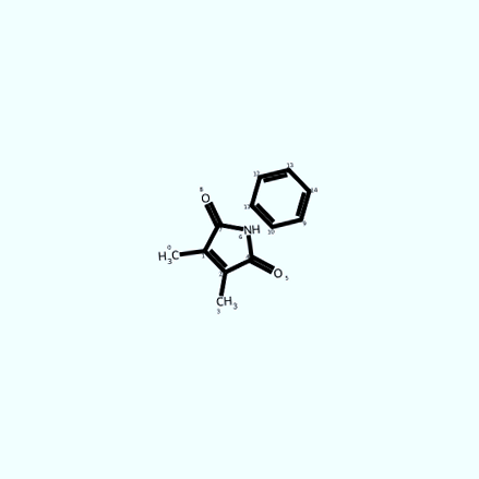 CC1=C(C)C(=O)NC1=O.c1ccccc1